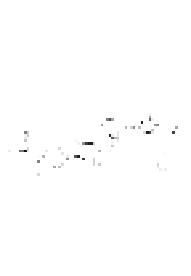 Cc1nc2c(F)cc(-c3ccnc(Nc4ccc(N5CCC(NC(=O)OC(C)(C)C)CC5)cn4)n3)cc2n1C1CCCC1